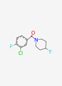 O=C(c1ccc(F)c(Cl)c1)N1CCC(F)CC1